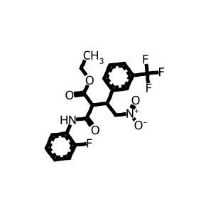 CCOC(=O)C(C(=O)Nc1ccccc1F)C(C[N+](=O)[O-])c1cccc(C(F)(F)F)c1